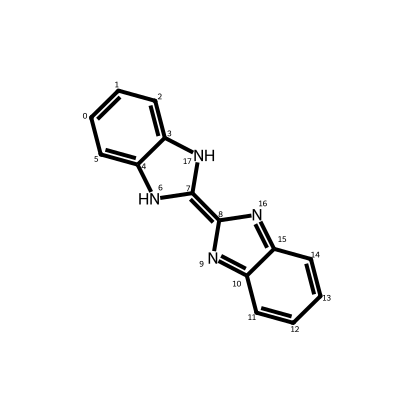 c1ccc2c(c1)NC(=C1N=c3ccccc3=N1)N2